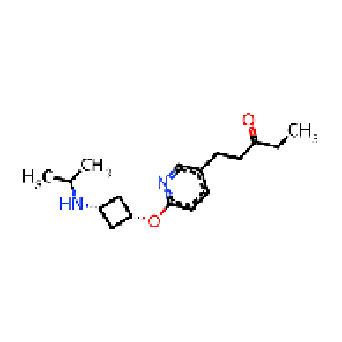 CCC(=O)CCc1ccc(O[C@H]2C[C@@H](NC(C)C)C2)nc1